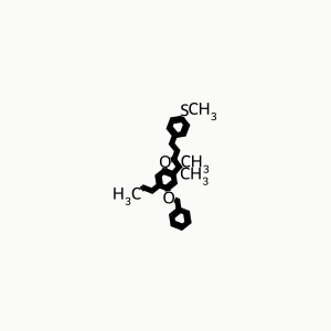 CCCc1cc2c(cc1OCc1ccccc1)C(C)(C)C(CCc1ccc(SC)cc1)O2